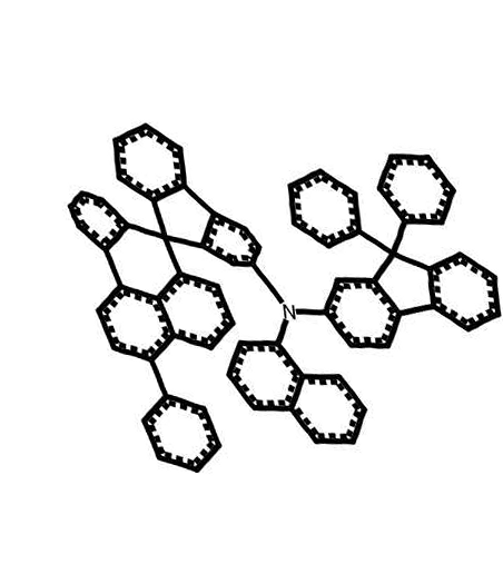 c1ccc(-c2ccc3c4c(cccc24)C2(c4ccccc4-c4ccc(N(c5ccc6c(c5)C(c5ccccc5)(c5ccccc5)c5ccccc5-6)c5cccc6ccccc56)cc42)c2ccccc2-3)cc1